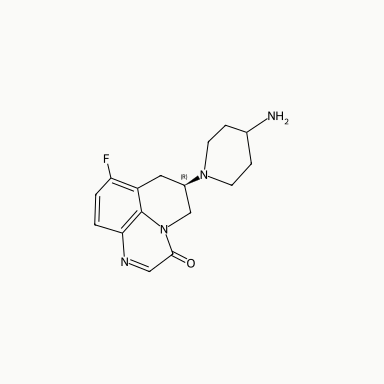 NC1CCN([C@@H]2Cc3c(F)ccc4ncc(=O)n(c34)C2)CC1